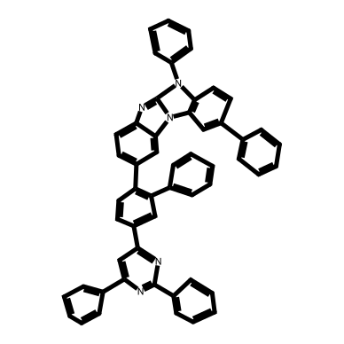 c1ccc(-c2ccc3c(c2)n2c4cc(-c5ccc(-c6cc(-c7ccccc7)nc(-c7ccccc7)n6)cc5-c5ccccc5)ccc4nc2n3-c2ccccc2)cc1